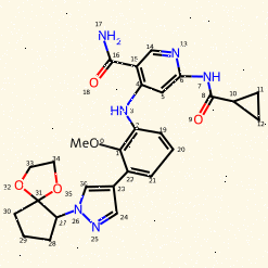 COc1c(Nc2cc(NC(=O)C3CC3)ncc2C(N)=O)cccc1-c1cnn(C2CCCC23OCCO3)c1